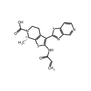 C=CC(=O)Nc1sc2c(c1-c1nc3cnccc3s1)CCN(C(=O)O)[C@H]2C